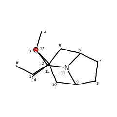 CCC1(OC)CC2CCC(C1)N2C(C)C